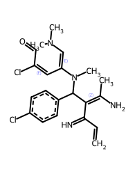 C=CC(=N)/C(=C(/C)N)C(c1ccc(Cl)cc1)N(C)C(/C=C(/Cl)C=O)=C/N(C)C